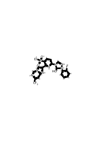 CCS(=O)(=O)c1ccc(N2C=NN(c3ccccc3F)C2O)nc1-c1cn2cnc(C(F)(F)F)cc2n1